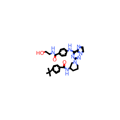 CC(C)(C)c1ccc(C(=O)N[C@@H]2CCCN(c3nc(Nc4ccc(C(=O)NCCO)cc4)c4nccn4n3)C2)cc1